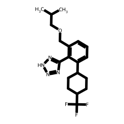 CC(C)COCc1cccc(C2CCC(C(F)(F)F)CC2)c1-c1nn[nH]n1